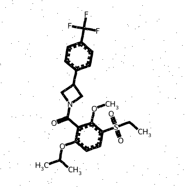 CCS(=O)(=O)c1ccc(OC(C)C)c(C(=O)N2CC(c3ccc(C(F)(F)F)cc3)C2)c1OC